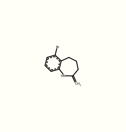 C=C1CCCc2c(Br)cccc2N1